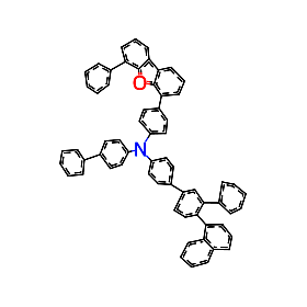 c1ccc(-c2ccc(N(c3ccc(-c4ccc(-c5cccc6ccccc56)c(-c5ccccc5)c4)cc3)c3ccc(-c4cccc5c4oc4c(-c6ccccc6)cccc45)cc3)cc2)cc1